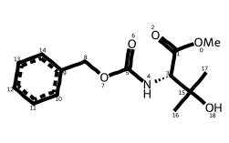 COC(=O)[C@@H](NC(=O)OCc1ccccc1)C(C)(C)O